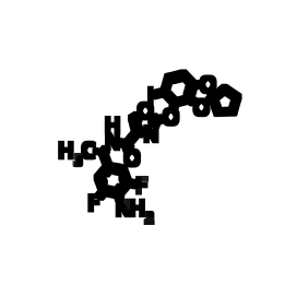 C[C@@H](NC(=O)c1coc(OC2C3=C(C=CC2I)OC2(CCCC2)O3)n1)c1cc(F)c(N)c(F)c1